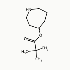 CC(C)(C)C(=O)ON1CCCNCC1